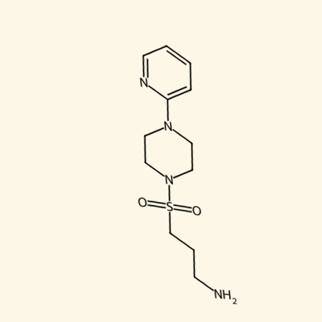 NCCCS(=O)(=O)N1CCN(c2ccccn2)CC1